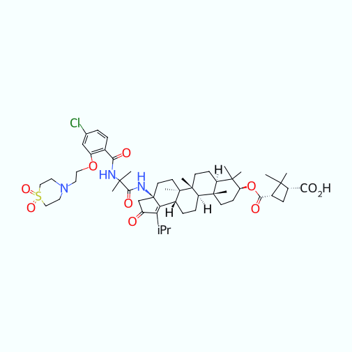 CC(C)C1=C2[C@H]3CC[C@@H]4[C@@]5(C)CC[C@H](OC(=O)[C@H]6C[C@@H](C(=O)O)C6(C)C)C(C)(C)[C@@H]5CC[C@@]4(C)[C@]3(C)CC[C@@]2(NC(=O)C(C)(C)NC(=O)c2ccc(Cl)cc2OCCN2CCS(=O)(=O)CC2)CC1=O